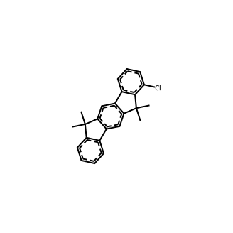 CC1(C)c2ccccc2-c2cc3c(cc21)-c1cccc(Cl)c1C3(C)C